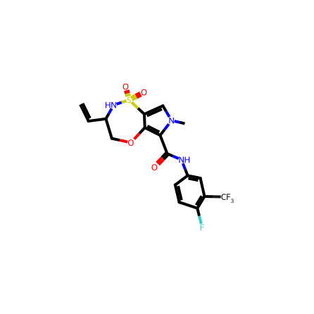 C=CC1COc2c(cn(C)c2C(=O)Nc2ccc(F)c(C(F)(F)F)c2)S(=O)(=O)N1